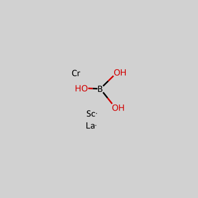 OB(O)O.[Cr].[La].[Sc]